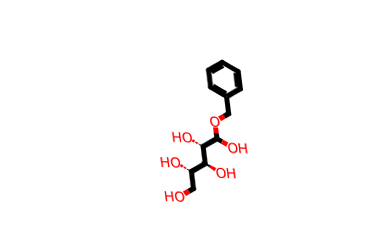 OC[C@H](O)[C@H](O)[C@H](O)C(O)OCc1ccccc1